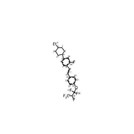 CCC1CCC(c2ccc(/C=C/c3ccc(OC(F)(F)C(F)C(F)(F)F)cc3)c(F)c2)CC1